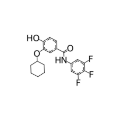 O=C(Nc1cc(F)c(F)c(F)c1)c1ccc(O)c(OC2CCCCC2)c1